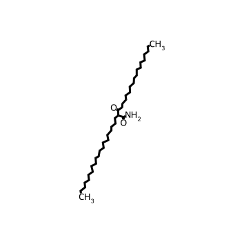 CCCCCCCCCCCCCCCCCCCCC(C(N)=O)C(=O)CCCCCCCCCCCCCCCCC